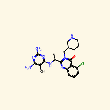 C[C@H](Nc1nc(N)nc(N)c1C#N)c1nc2cccc(Cl)c2c(=O)n1C[C@@H]1CCCNC1